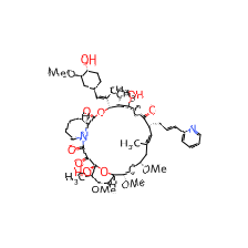 CO[C@H]1C/C(C)=C/[C@@H](C/C=C/c2ccccn2)C(=O)C[C@H](O)[C@@H](C)[C@@H](/C(C)=C/[C@@H]2CC[C@@H](O)[C@H](OC)C2)OC(=O)[C@@H]2CCCCN2C(=O)C(=O)[C@]2(O)O[C@H]([C@@H](OC)C1)[C@@H](OC)C[C@H]2C